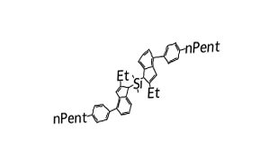 CCCCCc1ccc(-c2cccc3c2C=C(CC)C3[Si](C)(C)C2C(CC)=Cc3c(-c4ccc(CCCCC)cc4)cccc32)cc1